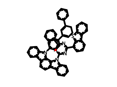 C1=C(c2ccc(-n3c4ccccc4c4ccc5c6ccccc6n(-c6nc(-c7ccccc7)nc(-c7cccc8c7sc7ccccc78)n6)c5c43)cc2)C=C(c2ccccc2)CC1